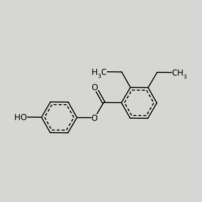 CCc1cccc(C(=O)Oc2ccc(O)cc2)c1CC